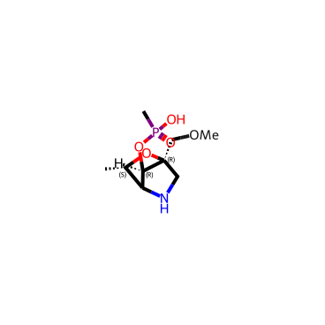 COC[C@@]12CNC([C@H](C)O1)[C@H]2OP(C)(=O)O